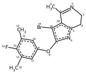 CC1=NCCn2nc(Oc3cc(C)c(F)c(C)c3)c(Br)c21